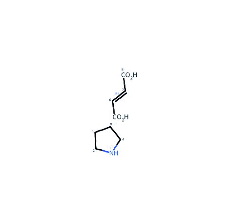 C1CCNC1.O=C(O)/C=C/C(=O)O